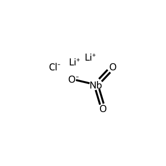 [Cl-].[Li+].[Li+].[O]=[Nb](=[O])[O-]